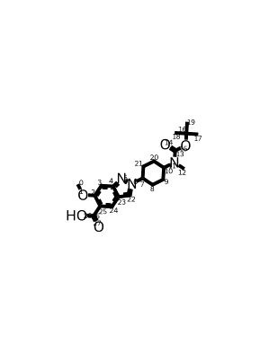 COc1cc2nn(C3CCC(N(C)C(=O)OC(C)(C)C)CC3)cc2cc1C(=O)O